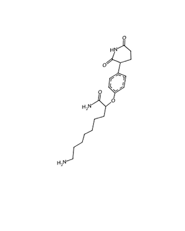 NCCCCCCCC(Oc1ccc(C2CCC(=O)NC2=O)cc1)C(N)=O